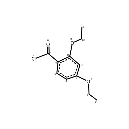 CCOc1ccc(C(=O)Cl)c(OCC)c1